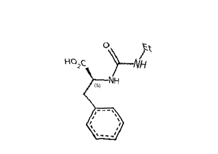 CCNC(=O)N[C@@H](Cc1ccccc1)C(=O)O